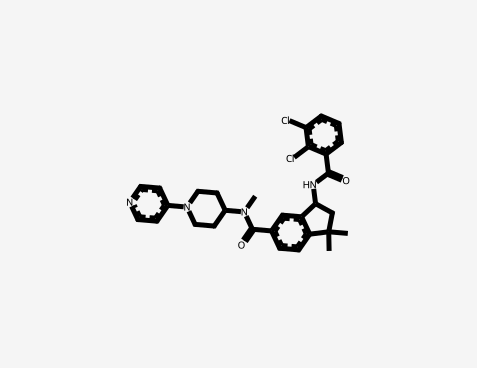 CN(C(=O)c1ccc2c(c1)C(NC(=O)c1cccc(Cl)c1Cl)CC2(C)C)C1CCN(c2ccncc2)CC1